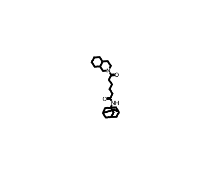 O=C(CCCCC(=O)N1CCC2CCCCC2C1)NC12CC3CC(CC(C3)C1)C2